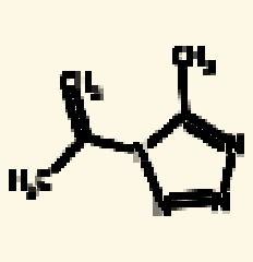 C=C(C)n1nnnc1C